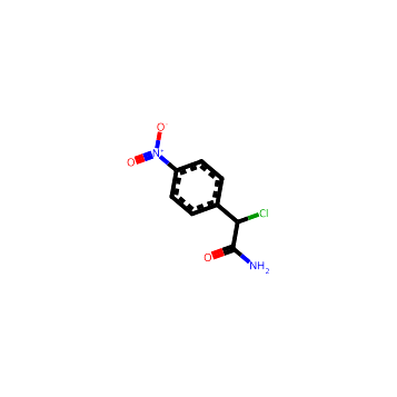 NC(=O)C(Cl)c1ccc([N+](=O)[O-])cc1